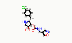 O=C(NCc1cnoc1)O[C@@H]1[C@@H](O)CN[C@@H]1Cc1ccc(Cl)cc1